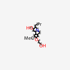 COc1cc2c(cc1OCCCO)CCN1CC(CC(C)C)C(O)CC21